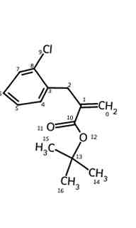 C=C(Cc1ccccc1Cl)C(=O)OC(C)(C)C